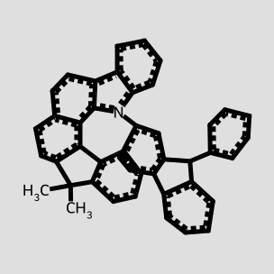 CC1(C)c2ccccc2-c2c1ccc1ccc3c4ccccc4n(-c4ccc5c(c4)C(c4ccccc4)c4ccccc4-5)c3c21